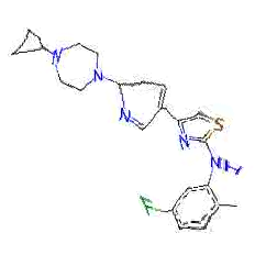 Cc1ccc(F)cc1Nc1nc(C2=CCC(N3CCN(C4CC4)CC3)N=C2)cs1